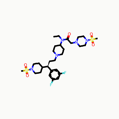 CCN(C(=O)CN1CCN(S(C)(=O)=O)CC1)C1CCN(CC[C@@H](c2cc(F)cc(F)c2)C2CCN(S(C)(=O)=O)CC2)CC1